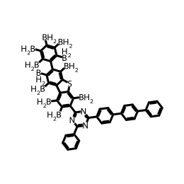 Bc1c(B)c(B)c(-c2c(B)c(B)c3c(sc4c(B)c(-c5nc(-c6ccccc6)nc(-c6ccc(-c7ccc(-c8ccccc8)cc7)cc6)n5)c(B)c(B)c43)c2B)c(B)c1B